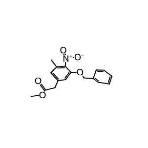 COC(=O)Cc1cc(C)c([N+](=O)[O-])c(OCc2ccccc2)c1